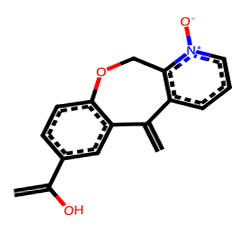 C=C(O)c1ccc2c(c1)C(=C)c1ccc[n+]([O-])c1CO2